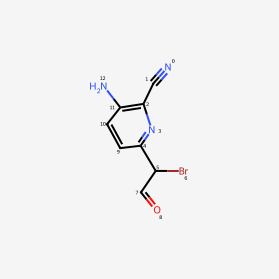 N#Cc1nc(C(Br)C=O)ccc1N